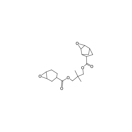 CC(C)(COC(=O)C1CCC2OC2C1)COC(=O)C1CC2CC1C1OC21